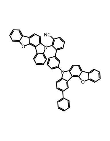 N#Cc1cccc(-c2cccc(-n3c4ccc(-c5ccccc5)cc4c4c5oc6ccccc6c5ccc43)c2)c1-n1c2ccccc2c2c3oc4ccccc4c3ccc21